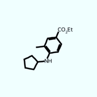 CCOC(=O)c1ccc(NC2CCCC2)c(C)c1